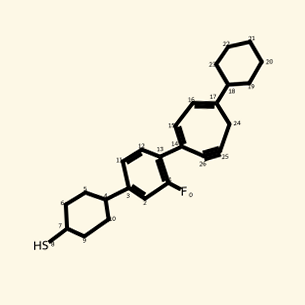 Fc1cc(C2CCC(S)CC2)ccc1C1=CC=C(C2CCCCC2)CC#C1